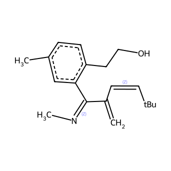 C=C(/C=C\C(C)(C)C)/C(=N/C)c1cc(C)ccc1CCO